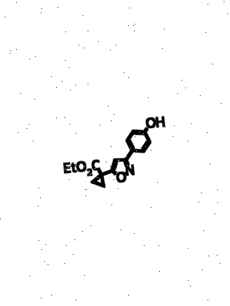 CCOC(=O)C1(c2cc(-c3ccc(O)cc3)no2)CC1